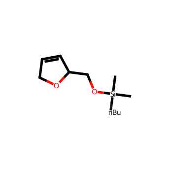 CCCC[Si](C)(C)OCC1C=CCO1